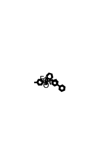 CCC1C=CC=CC1(NS(=O)(=O)c1ccc(C)cc1)c1ccc(-c2ccccc2)cc1